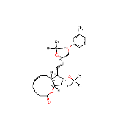 CC[Si](CC)(CC)O[C@H](C=C[C@@H]1[C@H]2CC=CCCCC(=O)O[C@H]2C[C@H]1O[Si](CC)(CC)CC)COc1cccc(C(F)(F)F)c1